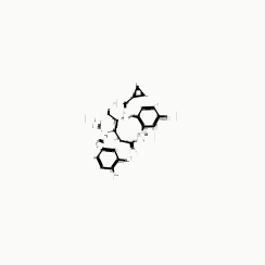 C[C@H](O)[C@@H]1[C@H]([N+](=O)[O-])[C@@H](c2cccc(Cl)c2F)C(=O)Nc2cc(Cl)ccc2N1CC1CC1